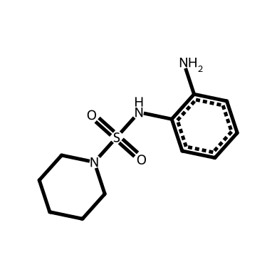 Nc1ccccc1NS(=O)(=O)N1CCCCC1